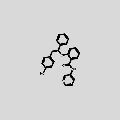 N#Cc1ccc(CC(Oc2ccccc2C(=O)Nc2cccnc2)c2ccccc2)cc1